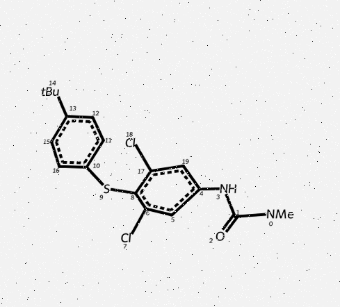 CNC(=O)Nc1cc(Cl)c(Sc2ccc(C(C)(C)C)cc2)c(Cl)c1